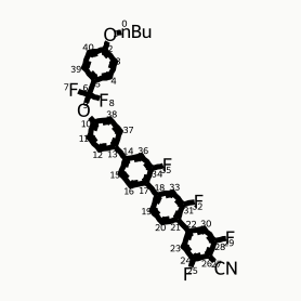 CCCCOc1ccc(C(F)(F)Oc2ccc(-c3ccc(-c4ccc(-c5cc(F)c(C#N)c(F)c5)c(F)c4)c(F)c3)cc2)cc1